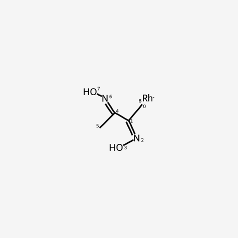 CC(=NO)C(C)=NO.[Rh]